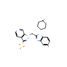 CS(=O)(=O)c1nn(Cc2nc3cc(Cl)ccc3n2[C@H]2CC[C@@](C)(O)CC2)c2cnccc12